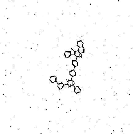 c1ccc(-c2cccc(-c3nc(-c4ccccc4)nc(-c4ccc(-c5ccc(-c6nc7ccc8ccccc8c7c7sc8ccccc8c67)cc5)cc4)n3)c2)cc1